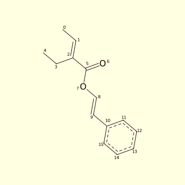 C/C=C(\CC)C(=O)OC=Cc1ccccc1